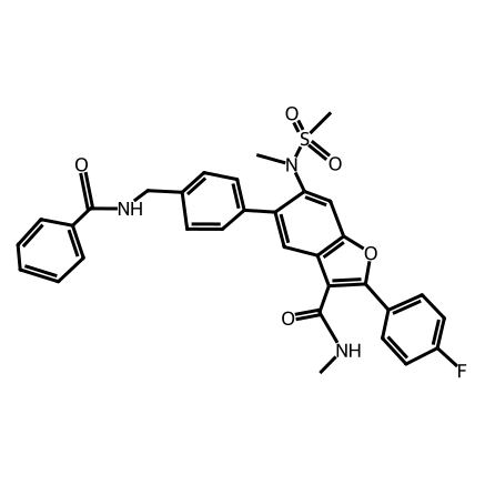 CNC(=O)c1c(-c2ccc(F)cc2)oc2cc(N(C)S(C)(=O)=O)c(-c3ccc(CNC(=O)c4ccccc4)cc3)cc12